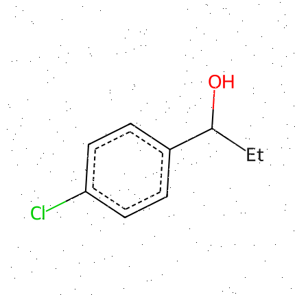 CCC(O)c1ccc(Cl)cc1